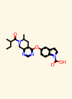 CCC(C)C(=O)N1Cc2ncnc(Oc3ccc4c(ccn4C(=O)O)c3)c2CC1C